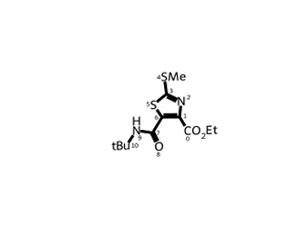 CCOC(=O)c1nc(SC)sc1C(=O)NC(C)(C)C